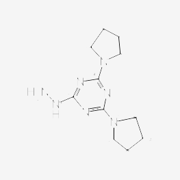 NNc1nc(N2CCCC2)nc(N2CCCC2)n1